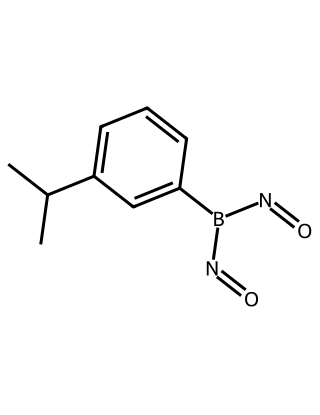 CC(C)c1cccc(B(N=O)N=O)c1